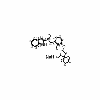 CCC1(CCOc2ccnc(C[S+]([O-])c3nc4ccccc4[nH]3)c2C)OCCO1.[NaH]